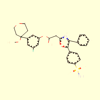 COC1(c2cc(F)cc(OC(O)Cc3nc(-c4ccccc4)c(-c4ccc(S(N)(=O)=O)cc4)o3)c2)CCOCC1